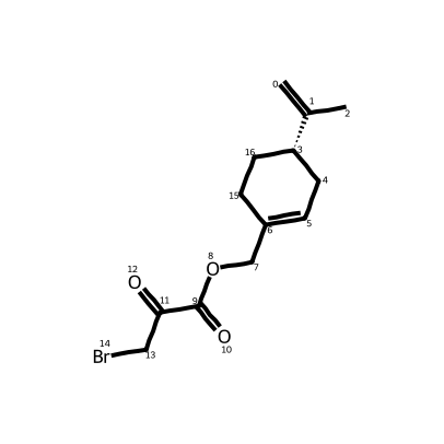 C=C(C)[C@@H]1CC=C(COC(=O)C(=O)CBr)CC1